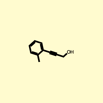 Cc1ccccc1C#CCO